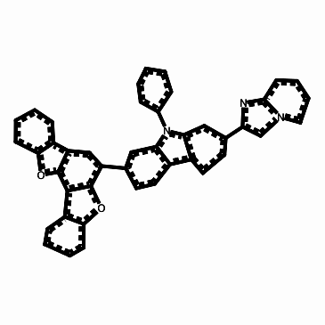 c1ccc(-n2c3cc(-c4cn5ccccc5n4)ccc3c3ccc(-c4cc5c6ccccc6oc5c5c4oc4ccccc45)cc32)cc1